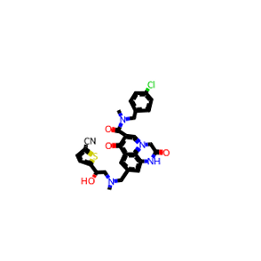 CN(Cc1cc2c3c(c1)c(=O)c(C(=O)N(C)Cc1ccc(Cl)cc1)cn3CC(=O)N2)CC(O)c1ccc(C#N)s1